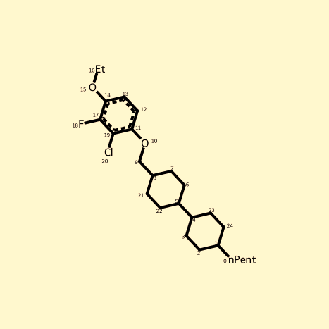 CCCCCC1CCC(C2CCC(COc3ccc(OCC)c(F)c3Cl)CC2)CC1